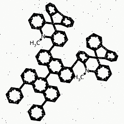 CN1c2ccccc2C2(c3ccccc3-c3ccccc32)c2cccc(-c3cccc4c(-c5c6cccc(-c7ccccc7)c6cc6c(-c7ccccc7)cccc56)c5cccc(-c6cccc7c6N(C)c6ccccc6C76c7ccccc7-c7ccccc76)c5cc34)c21